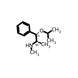 CN[C@H](C)[C@@H](OC(C)C)c1ccccc1